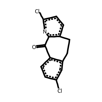 O=C1c2ccc(Cl)cc2CCc2ccc(Cl)nc21